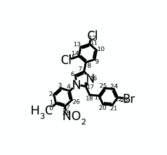 Cc1ccc(-n2cc(-c3ccc(Cl)cc3Cl)nc2Cc2ccc(Br)cc2)cc1[N+](=O)[O-]